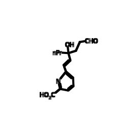 CCCC(O)(/C=C/c1cccc(C(=O)O)n1)CCC=O